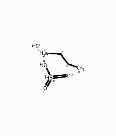 CCCN.Cl.O=[SH](=O)O